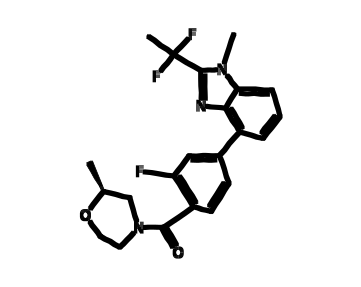 C[C@H]1CN(C(=O)c2ccc(-c3cccc4c3nc(C(C)(F)F)n4C)cc2F)CCO1